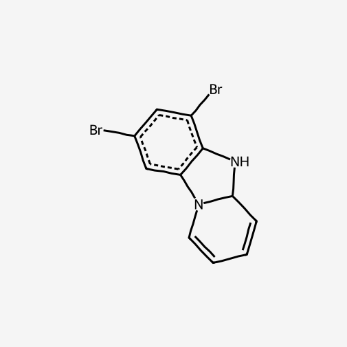 Brc1cc(Br)c2c(c1)N1C=CC=CC1N2